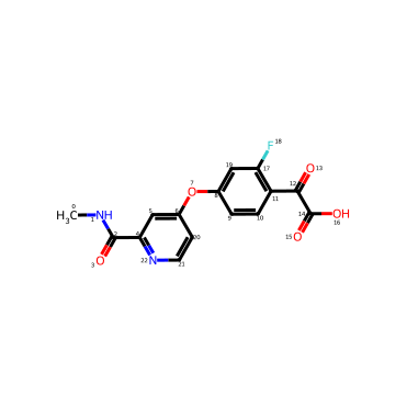 CNC(=O)c1cc(Oc2ccc(C(=O)C(=O)O)c(F)c2)ccn1